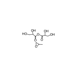 CC1CO1.O=C(OC(=O)C(O)CO)C(O)CO